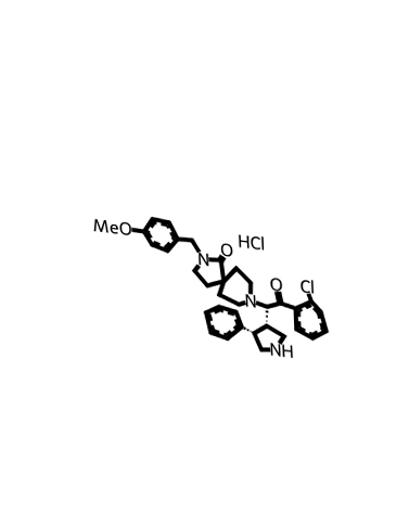 COc1ccc(CN2CCC3(CCN(C(C(=O)c4ccccc4Cl)[C@@H]4CNC[C@@H]4c4ccccc4)CC3)C2=O)cc1.Cl